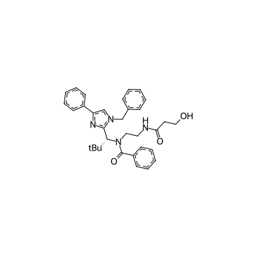 CC(C)(C)[C@H](c1nc(-c2ccccc2)cn1Cc1ccccc1)N(CCNC(=O)CCO)C(=O)c1ccccc1